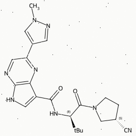 Cn1cc(-c2cnc3[nH]cc(C(=O)N[C@@H](C(=O)N4CC[C@H](C#N)C4)C(C)(C)C)c3n2)cn1